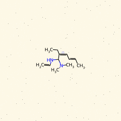 C=CNC(/C(=C\C=CC)CC)N(C)C